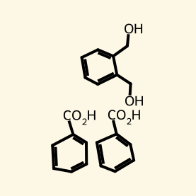 O=C(O)c1ccccc1.O=C(O)c1ccccc1.OCc1ccccc1CO